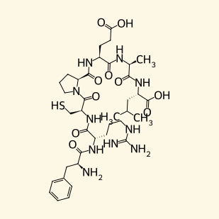 CC(C)C[C@H](NC(=O)[C@H](C)NC(=O)[C@H](CCC(=O)O)NC(=O)[C@@H]1CCCN1C(=O)[C@H](CS)NC(=O)[C@H](CCCNC(=N)N)NC(=O)[C@@H](N)Cc1ccccc1)C(=O)O